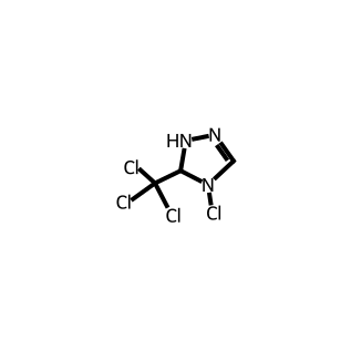 ClN1C=NNC1C(Cl)(Cl)Cl